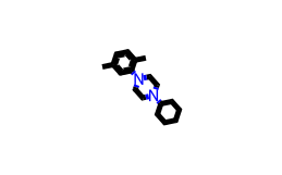 Cc1ccc(C)c(N2CCN(C3CCCCC3)CC2)c1